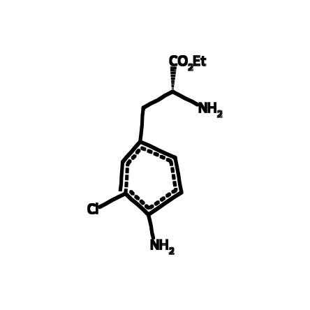 CCOC(=O)[C@H](N)Cc1ccc(N)c(Cl)c1